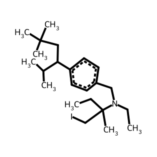 CCN(Cc1ccc(C(CC(C)(C)C)C(C)C)cc1)C(C)(CC)CI